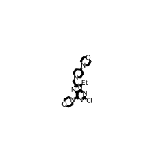 CCn1c(CN2CCC(N3CCOCC3)CC2)nc2c(N3CCOCC3)nc(Cl)nc21